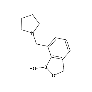 OB1OCc2cccc(CN3CCCC3)c21